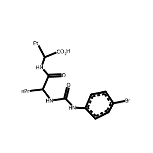 CCCC(NC(=O)Nc1ccc(Br)cc1)C(=O)NC(CC)C(=O)O